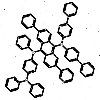 c1ccc(-c2ccc(N(c3ccc(-c4ccccc4)cc3)c3c4ccc(-c5ccccc5)cc4c(N(c4ccccc4)c4ccc(N(c5ccccc5)c5ccccc5)cc4)c4ccc(-c5ccccc5)cc34)cc2)cc1